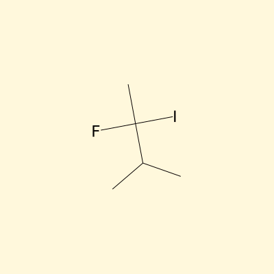 CC(C)C(C)(F)I